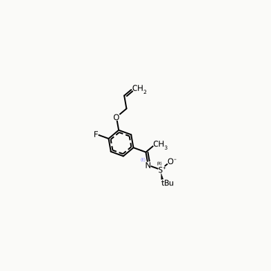 C=CCOc1cc(/C(C)=N/[S@@+]([O-])C(C)(C)C)ccc1F